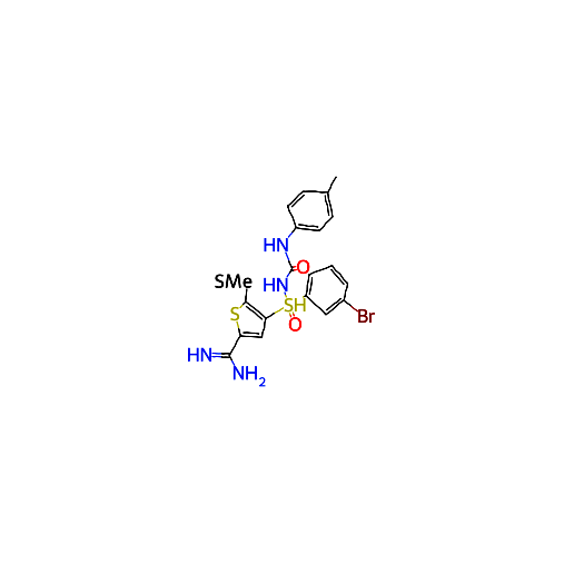 CSc1sc(C(=N)N)cc1[SH](=O)(NC(=O)Nc1ccc(C)cc1)c1cccc(Br)c1